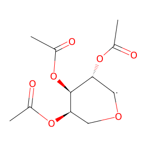 CC(=O)O[C@H]1[C@H](OC(C)=O)[CH]OC[C@H]1OC(C)=O